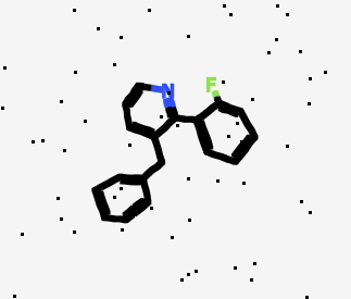 Fc1ccccc1-c1ncccc1Cc1ccccc1